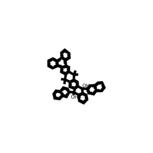 CC1(C)c2cc3c(cc2C(C)(C)c2cc4c5ccccc5c5ccccc5c4cc21)C(O)(c1ccc2ccccc2c1)c1ccccc1C3(O)c1ccc2ccccc2c1